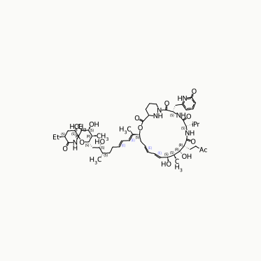 CC[C@H]1C[C@H](C)[C@@]2(NC1=O)O[C@@H](C[C@H](O)[C@@H](C)CC/C=C/C=C(\C)[C@@H]1C/C=C/C=C/[C@H](O)[C@H](C)[C@@H](O)[C@@H](CCC(C)=O)C(=O)N[C@@H](C(C)C)C(=O)N[C@@H](Cc3cccc(=O)[nH]3)C(=O)N3CCCC(N3)C(=O)O1)[C@H](C)[C@H](O)[C@@H]2C